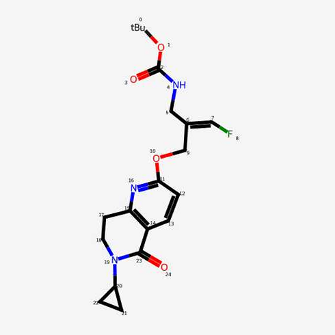 CC(C)(C)OC(=O)NC/C(=C/F)COc1ccc2c(n1)CCN(C1CC1)C2=O